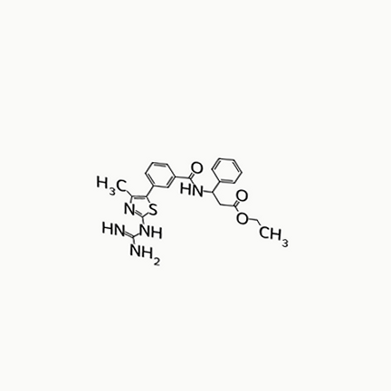 CCOC(=O)CC(NC(=O)c1cccc(-c2sc(NC(=N)N)nc2C)c1)c1ccccc1